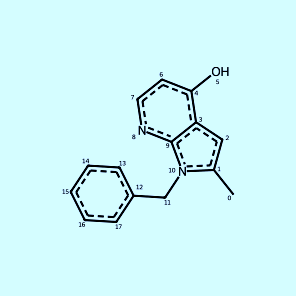 Cc1cc2c(O)ccnc2n1Cc1ccccc1